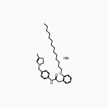 Br.CCCCCCCCCCCCCCOc1ccccc1CC(=O)Nc1ccc(CN2C=C(C)SC2)cc1